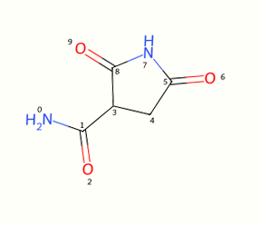 NC(=O)C1CC(=O)NC1=O